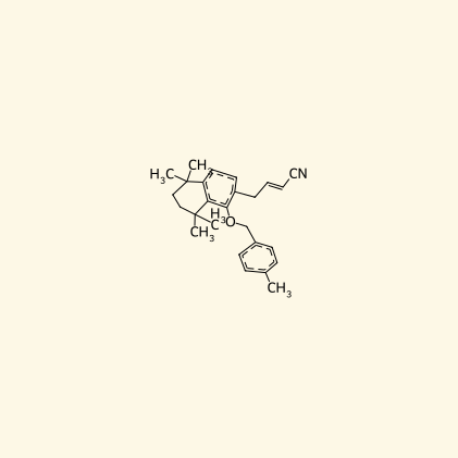 Cc1ccc(COc2c(CC=CC#N)ccc3c2C(C)(C)CCC3(C)C)cc1